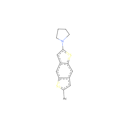 CC(=O)c1cc2cc3sc(N4CCCC4)cc3cc2s1